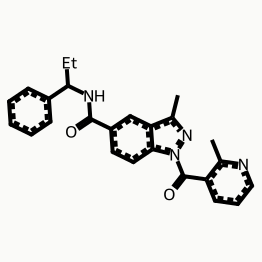 CCC(NC(=O)c1ccc2c(c1)c(C)nn2C(=O)c1cccnc1C)c1ccccc1